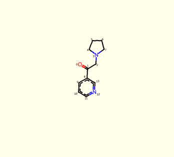 O=C(CN1CCCC1)c1cccnc1